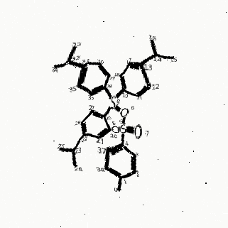 Cc1ccc(S(=O)(=O)OS(c2ccc(C(C)C)cc2)(c2ccc(C(C)C)cc2)c2ccc(C(C)C)cc2)cc1